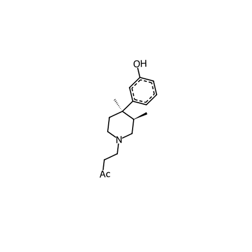 CC(=O)CCN1CC[C@@](C)(c2cccc(O)c2)[C@@H](C)C1